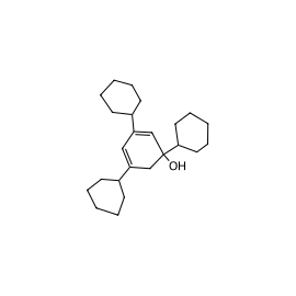 OC1(C2CCCCC2)C=C(C2CCCCC2)C=C(C2CCCCC2)C1